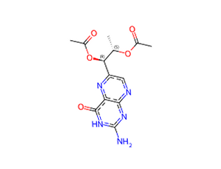 CC(=O)O[C@@H](C)[C@H](OC(C)=O)c1cnc2nc(N)[nH]c(=O)c2n1